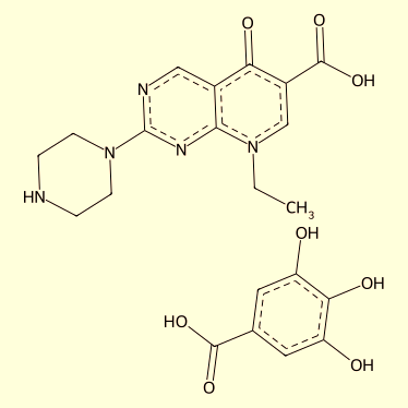 CCn1cc(C(=O)O)c(=O)c2cnc(N3CCNCC3)nc21.O=C(O)c1cc(O)c(O)c(O)c1